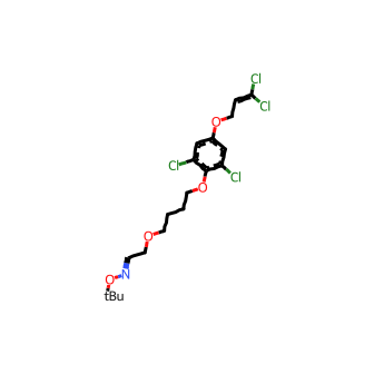 CC(C)(C)O/N=C/COCCCCOc1c(Cl)cc(OCC=C(Cl)Cl)cc1Cl